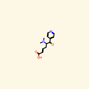 CN(C)C(CC=CC(=O)O)C(=O)c1ccncc1